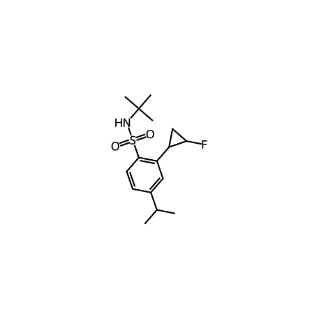 CC(C)c1ccc(S(=O)(=O)NC(C)(C)C)c(C2CC2F)c1